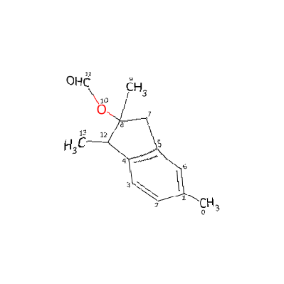 Cc1ccc2c(c1)CC(C)(OC=O)C2C